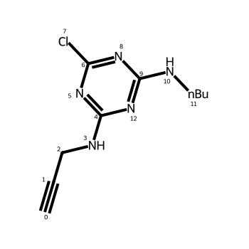 C#CCNc1nc(Cl)nc(NCCCC)n1